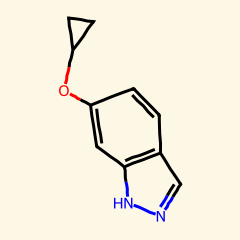 c1cc2cn[nH]c2cc1OC1CC1